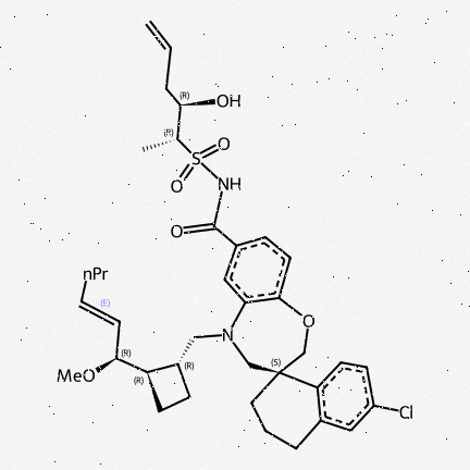 C=CC[C@@H](O)[C@@H](C)S(=O)(=O)NC(=O)c1ccc2c(c1)N(C[C@@H]1CC[C@H]1[C@H](/C=C/CCC)OC)C[C@@]1(CCCc3cc(Cl)ccc31)CO2